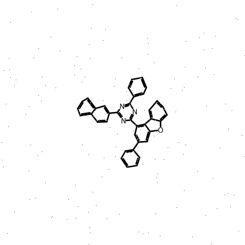 c1ccc(-c2cc(-c3nc(-c4ccccc4)nc(-c4ccc5ccccc5c4)n3)c3c(c2)oc2ccccc23)cc1